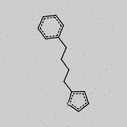 [CH](CCCc1ccccc1)c1cccs1